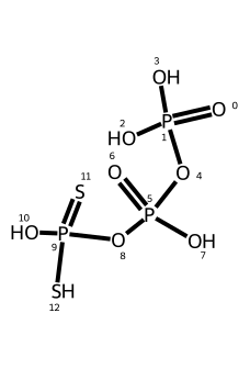 O=P(O)(O)OP(=O)(O)OP(O)(=S)S